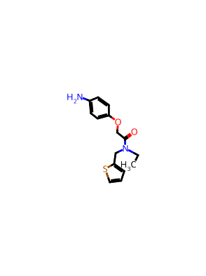 CCN(Cc1cccs1)C(=O)COc1ccc(N)cc1